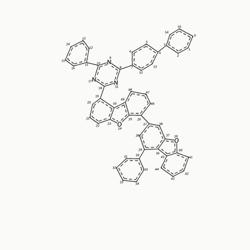 c1ccc(-c2ccc(-c3nc(-c4ccccc4)nc(-c4cccc5oc6c(-c7cc(-c8ccccc8)c8c(c7)oc7ccccc78)cccc6c45)n3)cc2)cc1